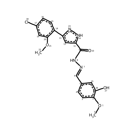 COc1ccc(/C=N/NC(=O)c2cc(-c3ccc(Cl)cc3OC)n[nH]2)cc1O